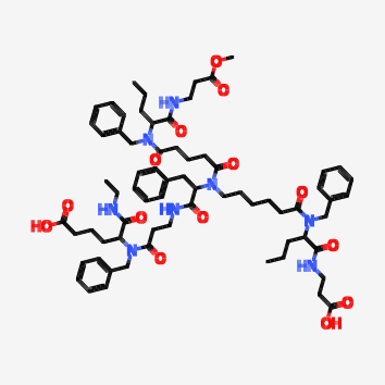 CCCC(C(=O)NCCC(=O)O)N(Cc1ccccc1)C(=O)CCCCCN(C(=O)CCCC(=O)N(Cc1ccccc1)C(CCC)C(=O)NCCC(=O)OC)C(Cc1ccccc1)C(=O)NCCC(=O)N(Cc1ccccc1)C(CCCC(=O)O)C(=O)NCC